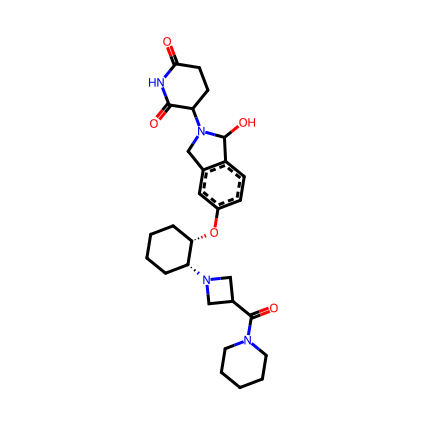 O=C1CCC(N2Cc3cc(O[C@H]4CCCC[C@H]4N4CC(C(=O)N5CCCCC5)C4)ccc3C2O)C(=O)N1